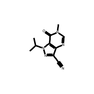 CC(C)n1nc(C#N)c2ncn(C)c(=O)c21